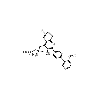 CCOC(=O)CC(C)(N)Cc1c(C#N)c(-c2ccc(-c3ccccc3OCC)cc2)nc2ccc(F)cc12